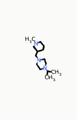 CC(C)N1CCN(CC2CCCN(C)C2)CC1